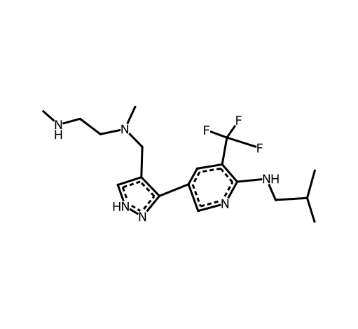 CNCCN(C)Cc1c[nH]nc1-c1cnc(NCC(C)C)c(C(F)(F)F)c1